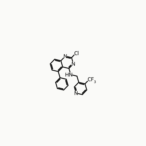 FC(F)(F)c1ccncc1CNc1nc(Cl)nc2cccc(-c3ccccc3)c12